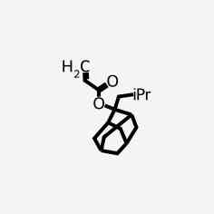 C=CC(=O)OC1(CC(C)C)C2CC3CC(C2)CC1C3